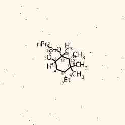 CCCB1O[C@H]2C[C@@H](CC)C(C)(C)[C@@H](C)[C@@]2(C)O1